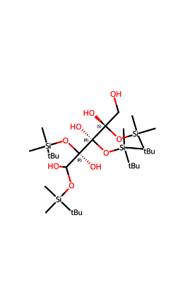 CC(C)(C)[Si](C)(C)OC(O)[C@@](O)(O[Si](C)(C)C(C)(C)C)[C@](O)(O[Si](C)(C)C(C)(C)C)[C@](O)(CO)O[Si](C)(C)C(C)(C)C